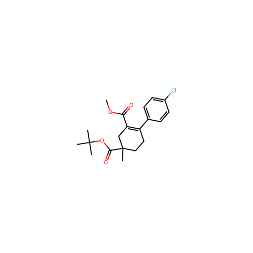 COC(=O)C1=C(c2ccc(Cl)cc2)CCC(C)(C(=O)OC(C)(C)C)C1